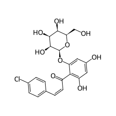 O=C(/C=C\c1ccc(Cl)cc1)c1c(O)cc(O)cc1O[C@@H]1O[C@H](CO)[C@H](O)[C@H](O)[C@@H]1O